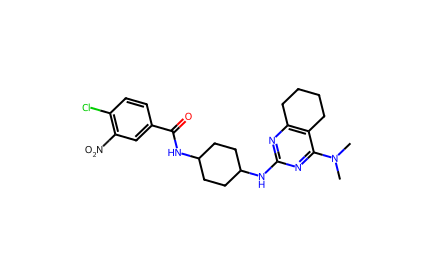 CN(C)c1nc(NC2CCC(NC(=O)c3ccc(Cl)c([N+](=O)[O-])c3)CC2)nc2c1CCCC2